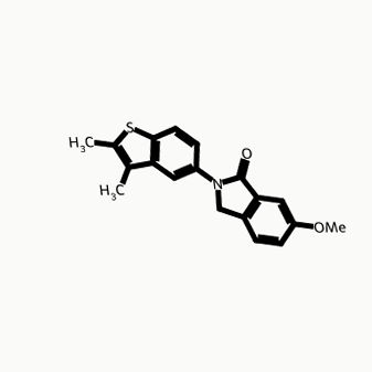 COc1ccc2c(c1)C(=O)N(c1ccc3sc(C)c(C)c3c1)C2